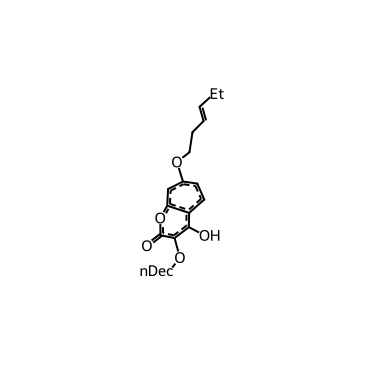 CCC=CCCOc1ccc2c(O)c(OCCCCCCCCCC)c(=O)oc2c1